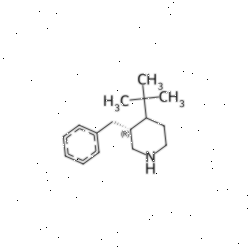 CC(C)(C)C1CCNC[C@@H]1Cc1ccccc1